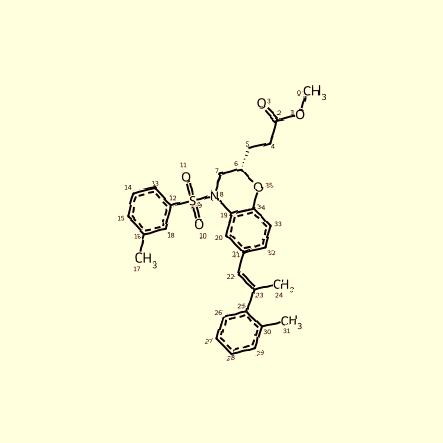 COC(=O)CC[C@H]1CN(S(=O)(=O)c2cccc(C)c2)c2cc(/C=C(\C)c3ccccc3C)ccc2O1